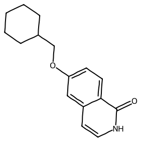 O=c1[nH]ccc2cc(OCC3CCCCC3)ccc12